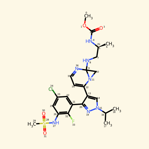 COC(=O)N[C@@H](C)CNC12CN1C(c1cn(C(C)C)nc1-c1cc(Cl)cc(NS(C)(=O)=O)c1F)=CC=N2